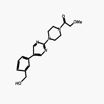 COCC(=O)N1CCN(c2ncc(-c3cccc(CO)c3)cn2)CC1